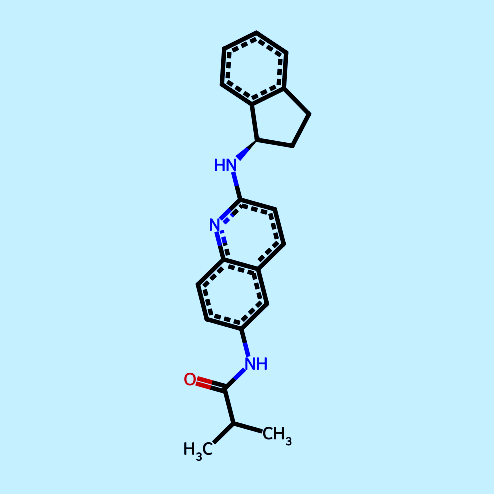 CC(C)C(=O)Nc1ccc2nc(N[C@@H]3CCc4ccccc43)ccc2c1